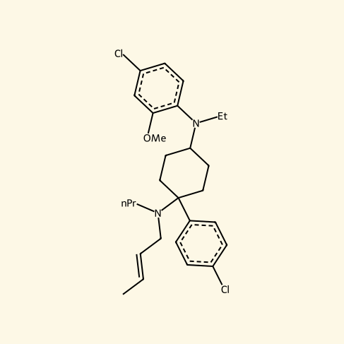 CC=CCN(CCC)C1(c2ccc(Cl)cc2)CCC(N(CC)c2ccc(Cl)cc2OC)CC1